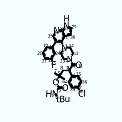 CC(C)(C)NC(=O)OC(C)(C)C[C@@H](C(=O)N1CCN(c2c(-c3cccc(F)c3)cnc3[nH]ccc23)CC1)c1ccc(Cl)cc1